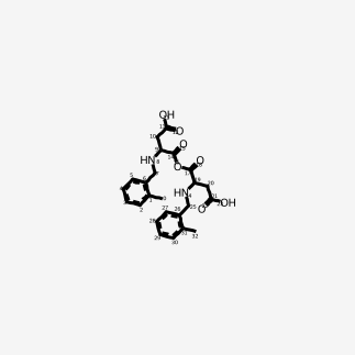 Cc1ccccc1CNC(CC(=O)O)C(=O)OC(=O)C(CC(=O)O)NCc1ccccc1C